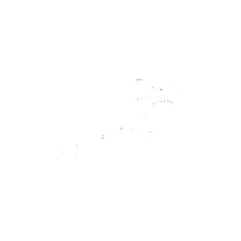 CC1=C(C(=O)OC2c3ccccc3-c3ccccc32)N2C(=O)[C@@H](NC(=O)COc3ccccc3)[C@@H]2SC1